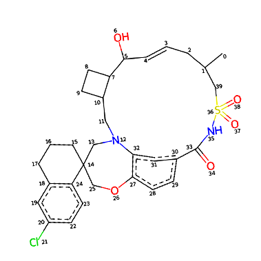 CC1C/C=C/C(O)C2CCC2CN2CC3(CCCc4cc(Cl)ccc43)COc3ccc(cc32)C(=O)NS(=O)(=O)C1